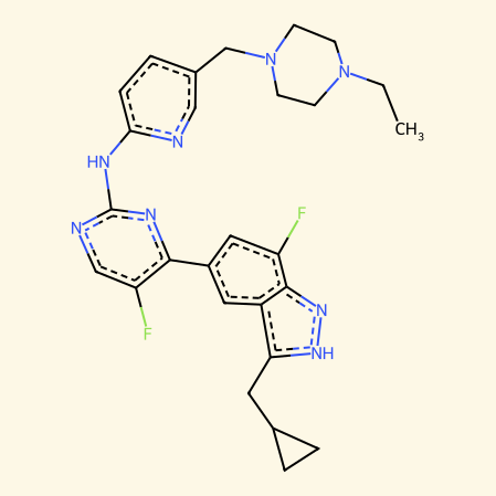 CCN1CCN(Cc2ccc(Nc3ncc(F)c(-c4cc(F)c5n[nH]c(CC6CC6)c5c4)n3)nc2)CC1